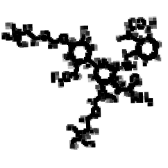 CN(C(=O)O)c1ccccc1CNc1nc(-c2cc(F)c(OCOCC[Si](C)(C)C)cc2CC(F)(F)F)cc2c1c(C(N)=O)nn2COCC[Si](C)(C)C